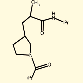 CC(C)NC(=O)C(C)CC1CCN(C(=O)C(C)C)C1